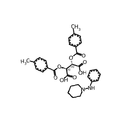 Cc1ccc(C(=O)O[C@H](C(=O)O)[C@H](OC(=O)c2ccc(C)cc2)C(=O)O)cc1.c1ccc(NN2CCCCC2)cc1